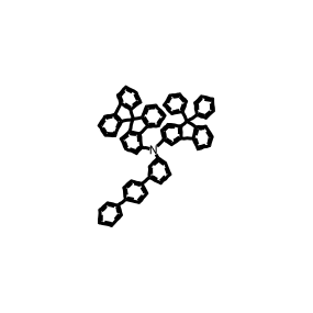 c1ccc(-c2ccc(-c3cccc(N(c4ccc5c(c4)-c4ccccc4C5(c4ccccc4)c4ccccc4)c4cccc5c4-c4ccccc4C54c5ccccc5-c5ccccc54)c3)cc2)cc1